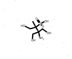 CC(CO)(C(N)(CO)CO)S(=O)(=O)O